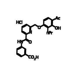 CCCc1c(OCc2cccc(C(=O)Nc3cccc(C(=O)O)c3)n2)ccc(C(C)=O)c1O.Cl